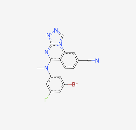 CN(c1cc(F)cc(Br)c1)c1nc2nncn2c2cc(C#N)ccc12